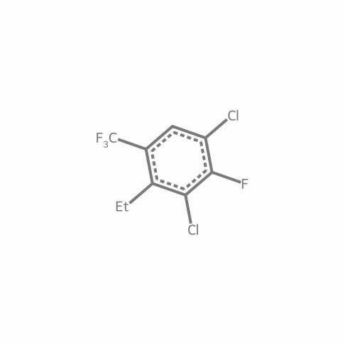 CCc1c(C(F)(F)F)cc(Cl)c(F)c1Cl